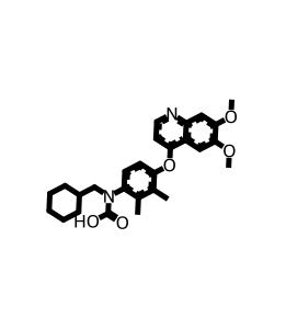 COc1cc2nccc(Oc3ccc(N(CC4CCCCC4)C(=O)O)c(C)c3C)c2cc1OC